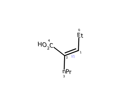 CC/C=C(/CCC)C(=O)O